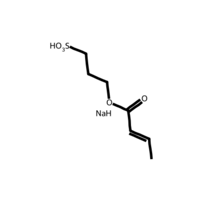 CC=CC(=O)OCCCS(=O)(=O)O.[NaH]